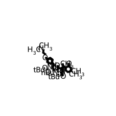 CCCC[C@H](NC(=O)c1c(C)c2c(n1C(=O)OC(C)(C)C)CC(C)(C)CC2=O)c1nc2ccc(OCCCN(C)C)cc2n1C(=O)OC(C)(C)C